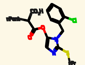 CCCCCC(C(=O)O)C(=O)Oc1cnc(SCCC)n1Cc1ccccc1Cl